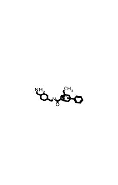 CCC12CC3CC(c4ccccc4)(CC1C3C(=O)/N=C/C1CCC(CN)CC1)C2